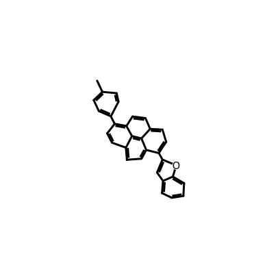 Cc1ccc(-c2ccc3ccc4c(-c5cc6ccccc6o5)ccc5ccc2c3c54)cc1